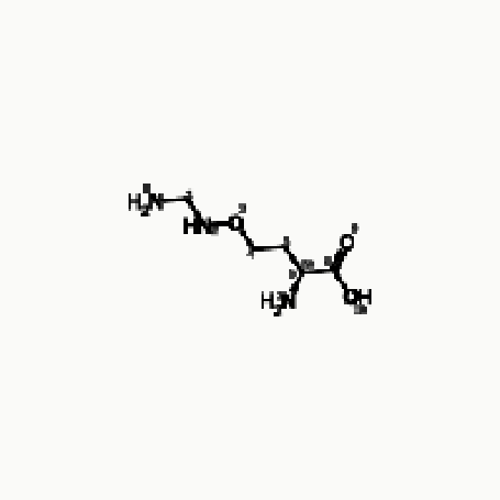 NCNOCC[C@H](N)C(=O)O